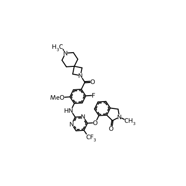 COc1cc(C(=O)N2CC3(CCN(C)CC3)C2)c(F)cc1Nc1ncc(C(F)(F)F)c(Oc2cccc3c2C(=O)N(C)C3)n1